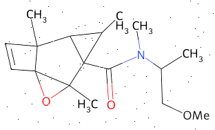 COCC(C)N(C)C(=O)C12C(C)C1C1(C)C=CC13OC23C